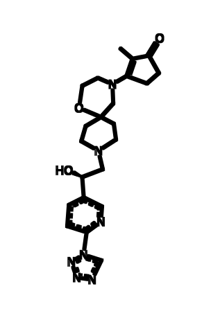 CC1=C(N2CCOC3(CCN(C[C@H](O)c4ccc(-n5cnnn5)nc4)CC3)C2)CCC1=O